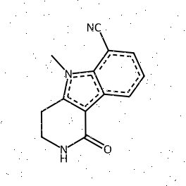 Cn1c2c(c3cccc(C#N)c31)C(=O)NCC2